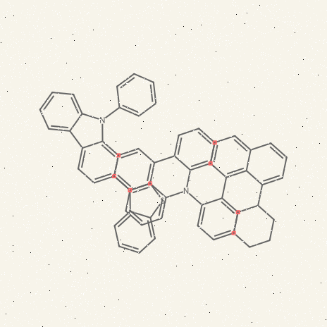 c1ccc(-n2c3ccccc3c3ccc(-c4cccc(N(c5ccccc5-c5cccc6c5sc5ccccc56)c5ccccc5-c5cccc6cccc(C7CCCCC7)c56)c4)cc32)cc1